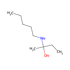 CCCCCNC(C)(O)CC